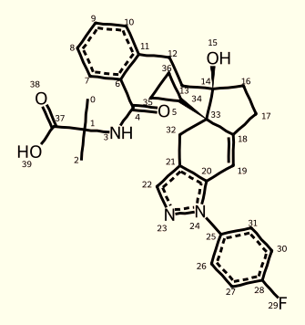 CC(C)(NC(=O)c1ccccc1CC[C@]1(O)CCC2=Cc3c(cnn3-c3ccc(F)cc3)C[C@@]21C1CC1)C(=O)O